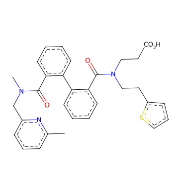 Cc1cccc(CN(C)C(=O)c2ccccc2-c2ccccc2C(=O)N(CCC(=O)O)CCc2cccs2)n1